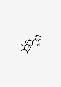 CC(C)C(C)C(C)c1ncc(C2C=CON2)cn1